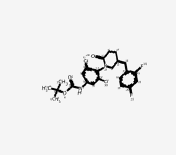 CC(C)(C)OC(=O)Nc1cc(Cl)c(N2CC(Cc3ccc(F)cc3F)CCC2=O)c(Cl)c1